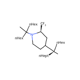 CCCCCCC[C@](C)(CCCCCC)C1CCN(C(C)(CCCCCC)CCCCCC)[C@@H](C(F)(F)F)C1